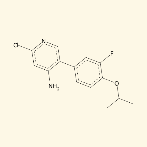 CC(C)Oc1ccc(-c2cnc(Cl)cc2N)cc1F